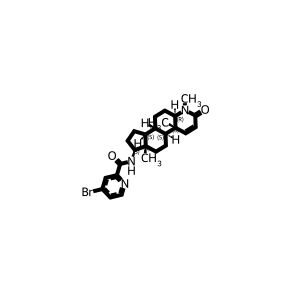 CN1C(=O)C=C[C@]2(C)[C@H]3CC[C@]4(C)[C@@H](NC(=O)c5cc(Br)ccn5)CC[C@H]4[C@@H]3CC[C@@H]12